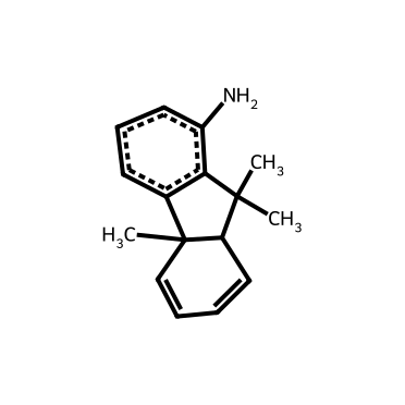 CC1(C)c2c(N)cccc2C2(C)C=CC=CC12